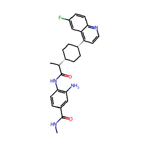 CNC(=O)c1ccc(NC(=O)C(C)[C@H]2CC[C@@H](c3ccnc4ccc(F)cc43)CC2)c(N)c1